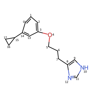 [c]1ccc(OCCCc2c[nH]cn2)cc1C1CC1